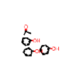 CC(C)=O.Oc1ccccc1.Oc1ccccc1.Oc1ccccc1